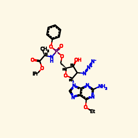 CCOc1nc(N)nc2c1ncn2[C@@H]1O[C@H](COP(=O)(N[C@@H](C)C(=O)OC(C)C)Oc2ccccc2)[C@@H](O)C1N=[N+]=[N-]